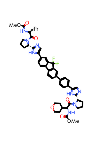 COC(=O)NC(C(=O)N1CCC[C@H]1c1ncc(-c2ccc3c(c2)C(F)(F)c2cc(-c4ccc(-c5cnc([C@@H]6CCCN6C(=O)[C@@H](NC(=O)OC)C6CCOCC6)[nH]5)cc4)ccc2-3)[nH]1)C(C)C